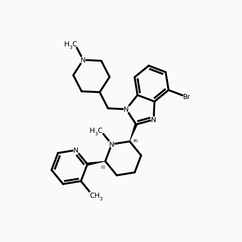 Cc1cccnc1[C@@H]1CCC[C@H](c2nc3c(Br)cccc3n2CC2CCN(C)CC2)N1C